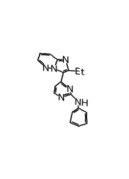 CCc1nc2cccnn2c1-c1ccnc(Nc2ccccc2)n1